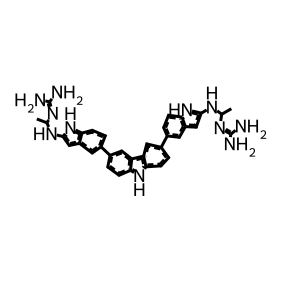 CC(N=C(N)N)Nc1cc2cc(-c3ccc4[nH]c5ccc(-c6ccc7[nH]c(NC(C)N=C(N)N)cc7c6)cc5c4c3)ccc2[nH]1